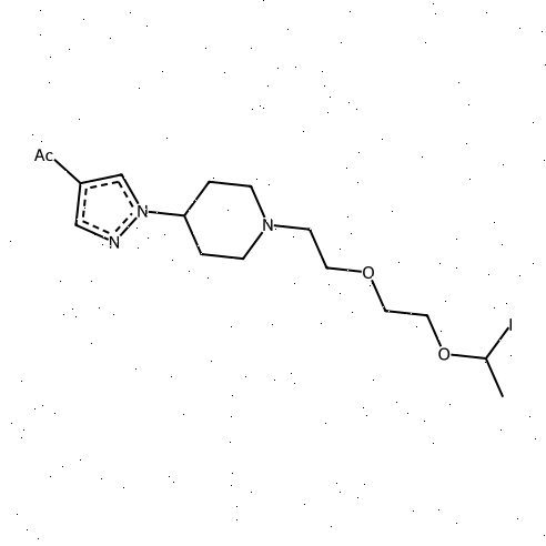 CC(=O)c1cnn(C2CCN(CCOCCOC(C)I)CC2)c1